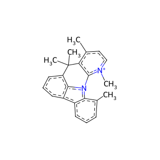 Cc1cc[n+](C)c2c1C(C)(C)c1cccc3c4cccc(C)c4n-2c13